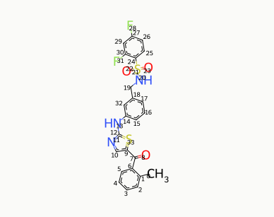 Cc1ccccc1C(=O)c1cnc(Nc2cccc(CNS(=O)(=O)c3ccc(F)cc3F)c2)s1